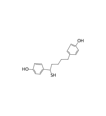 Oc1ccc(CCCCC(S)c2ccc(O)cc2)cc1